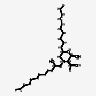 CCCCCCCCCCC(O)CN1CC(CCCCCCCCCC)OC(O)C1C(C)=O